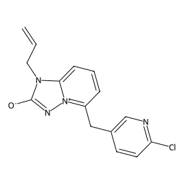 C=CCn1c([O-])n[n+]2c(Cc3ccc(Cl)nc3)cccc12